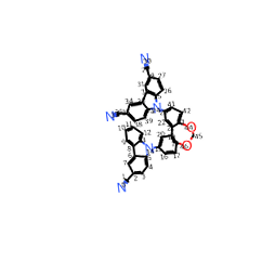 N#Cc1ccc2c(c1)c1ccccc1n2-c1ccc2c(c1)-c1cc(-n3c4ccc(C#N)cc4c4cc(C#N)ccc43)ccc1OCO2